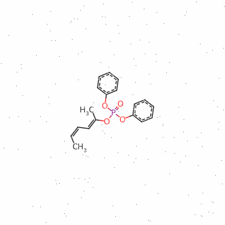 C/C=C\C=C(/C)OP(=O)(Oc1ccccc1)Oc1ccccc1